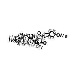 COc1ccc(CNC(=O)[C@@]23CC[C@]4(C)[C@H](CC[C@@H]5[C@@]6(C)CC[C@H](O)C(C)(C)[C@@H]6CC[C@]54C)C2=C(C(C)C)C(=O)C3)cc1